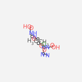 Cc1c(COc2cc(OCc3cncc(C#N)c3)c(CNCCCC(=O)O)cc2Cl)cccc1-c1cccc(-c2nc3cc(CNCCCC(=O)O)ccc3o2)c1C